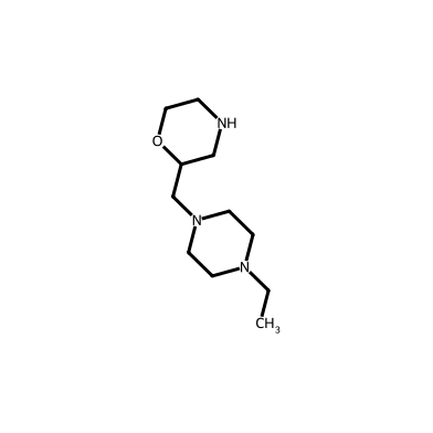 CCN1CCN(CC2CNCCO2)CC1